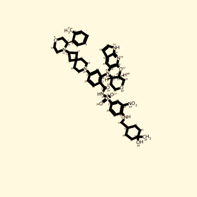 Cc1ccccc1[C@@H]1COCCN1C1CC2(CCN(c3ccc(C(=O)NS(=O)(=O)c4ccc(NCC5CCC(C)(O)CC5)c([N+](=O)[O-])c4)c(N4c5cc6cc[nH]c6nc5O[C@H]5COCC[C@@H]54)c3)CC2)C1